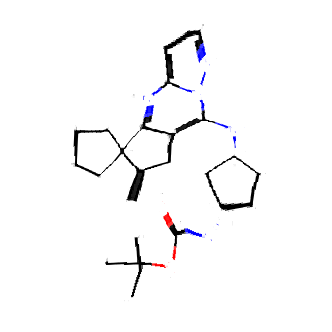 C=C1Cc2c(nc3ccnn3c2N[C@H]2CC[C@H](NC(=O)OC(C)(C)C)C2)C12CCCC2